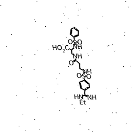 CCNC(=N)c1ccc(S(=O)(=O)NCCC(=O)NC[C@H](NS(=O)(=O)c2ccccc2)C(=O)O)cc1